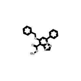 CC(C)(C)OC(=O)c1c(OCc2ccccc2)cc(-c2ccccc2)n2ncnc12